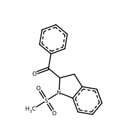 CS(=O)(=O)N1c2ccccc2CC1C(=O)c1ccccc1